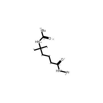 CC(C)NC(=O)CCCC(C)(C)NC(=O)C(C)(C)C